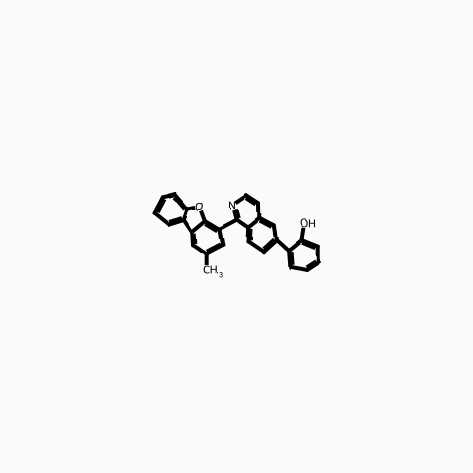 Cc1cc(-c2nccc3cc(-c4ccccc4O)ccc23)c2oc3ccccc3c2c1